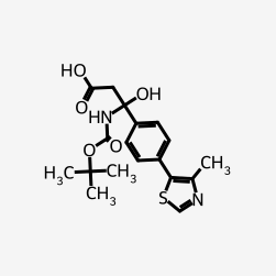 Cc1ncsc1-c1ccc(C(O)(CC(=O)O)NC(=O)OC(C)(C)C)cc1